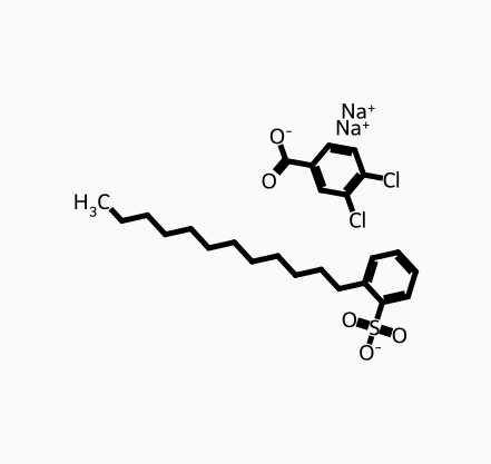 CCCCCCCCCCCCc1ccccc1S(=O)(=O)[O-].O=C([O-])c1ccc(Cl)c(Cl)c1.[Na+].[Na+]